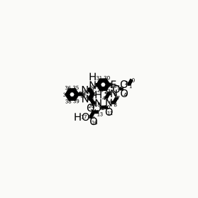 CCOC(=O)ON1CCN(C(=O)[C@H](CCC(=O)O)NC(=O)c2cc(Nc3ccc(F)cc3)nc(-c3ccccc3)n2)CC1